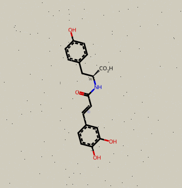 O=C(/C=C/c1ccc(O)c(O)c1)N[C@@H](Cc1ccc(O)cc1)C(=O)O